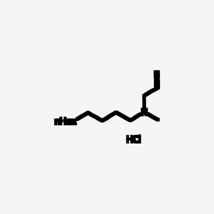 C=CCN(C)CCCCCCCCCC.Cl